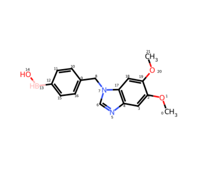 COc1cc2ncn(Cc3ccc(BO)cc3)c2cc1OC